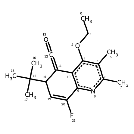 CCOc1c(C)c(C)nc2c1C(=C=O)C(C(C)(C)C)C=C2F